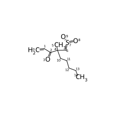 C=CC(=O)C(C)(C=S(=O)=O)CCCCC